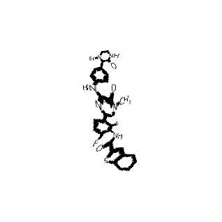 CCN1CCNC(=O)C1c1ccc(Nc2nc(-c3ccc(F)c(NC(=O)c4cc5c(s4)CCCC5)c3F)cn(C)c2=O)cc1